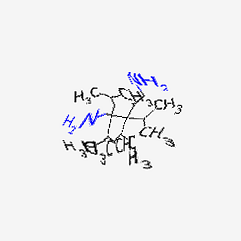 CC(C)C(N)(C(C)C)C(CCN)(C(C)C)C(C)C